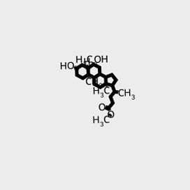 COC(=O)CCC(C)C1CCC2C3C[C@](C)(O)[C@@H]4C[C@H](O)CC[C@]4(C)C3CC[C@]12C